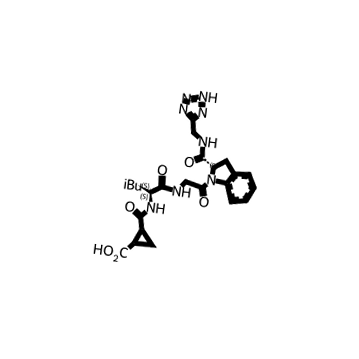 CC[C@H](C)[C@H](NC(=O)C1CC1C(=O)O)C(=O)NCC(=O)N1c2ccccc2C[C@H]1C(=O)NCc1nn[nH]n1